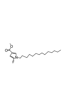 CCCCCCCCCCCCCCn1cc(C(=O)OC)cc1F